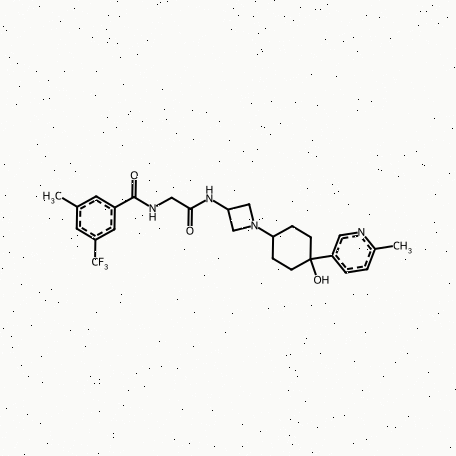 Cc1cc(C(=O)NCC(=O)NC2CN(C3CCC(O)(c4ccc(C)nc4)CC3)C2)cc(C(F)(F)F)c1